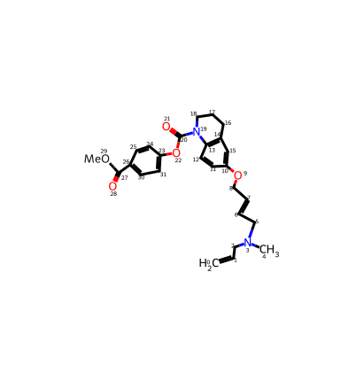 C=CCN(C)CC=CCOc1ccc2c(c1)CCCN2C(=O)Oc1ccc(C(=O)OC)cc1